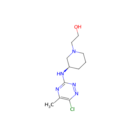 Cc1nc(N[C@@H]2CCCN(CCO)C2)nnc1Cl